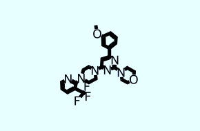 COc1cccc(-c2cc(N3CCN(c4ncccc4C(F)(F)F)CC3)nc(N3CCOCC3)n2)c1